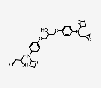 OC(COc1ccc(N(CC(O)CCl)C2CCO2)cc1)COc1ccc(N(CC2CO2)C2CCO2)cc1